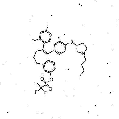 CCCCN1CCC(Oc2ccc(C3=C(c4ccc(C)cc4F)CCCc4cc(OS(=O)(=O)C(C)(F)F)ccc43)cc2)C1